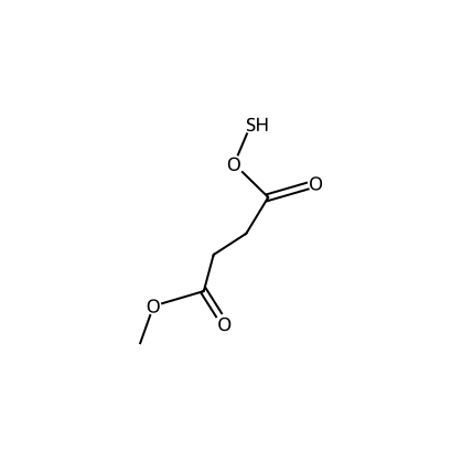 COC(=O)CCC(=O)OS